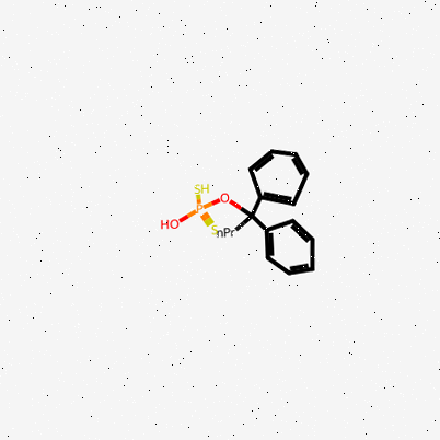 CCCC(OP(O)(=S)S)(c1ccccc1)c1ccccc1